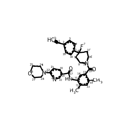 C#Cc1ccc(C2(F)CCN(C(=O)c3cc(NC(=O)c4ccc(N5CCOCC5)nc4)c(C)cc3C)CC2)cc1